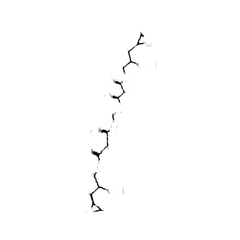 O=C(CC(=O)OCC(O)CC1CO1)OCOC(=O)CC(=O)OCC(O)CC1CO1